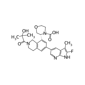 Cc1c(F)[nH]c2ncc(-c3cc4c(c([C@@H]5COCCN5C(=O)O)c3)CN(C(=O)C(C)(C)O)CC4)cc12